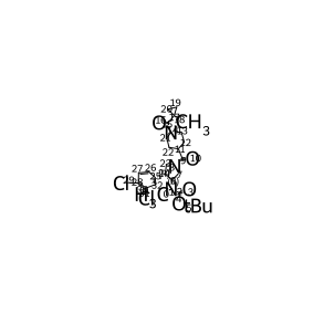 CN(C(=O)OC(C)(C)C)[C@H]1CN(C(=O)C2CCN(C(=O)C3(C)CC3)CC2)C[C@H]1c1ccc(Cl)c(Cl)c1